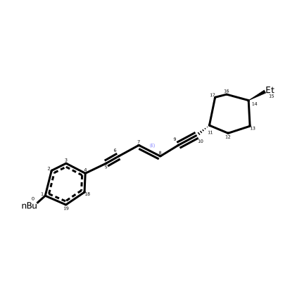 CCCCc1ccc(C#C/C=C/C#C[C@H]2CC[C@H](CC)CC2)cc1